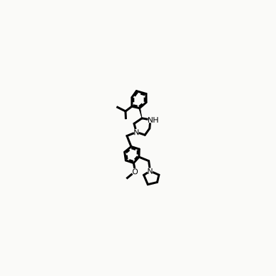 COc1ccc(CN2CCN[C@H](c3ccccc3C(C)C)C2)cc1CN1CCCC1